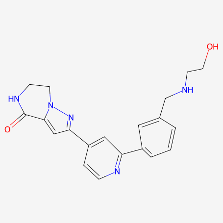 O=C1NCCn2nc(-c3ccnc(-c4cccc(CNCCO)c4)c3)cc21